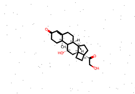 C[C@]12CCC(=O)C=C1CC[C@@H]1C2[C@@H](O)C[C@]23CC[C@]2(C(=O)CO)CC[C@@H]13